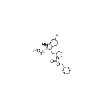 O=C(O)c1[nH]c2cc(F)ccc2c1CC1CCCN1C(=O)OCc1ccccc1